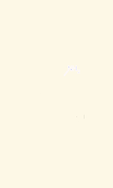 Nc1cc2c(c(C(=O)O)c1)CCC2